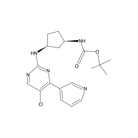 CC(C)(C)OC(=O)N[C@@H]1CC[C@H](Nc2ncc(Cl)c(-c3cccnc3)n2)C1